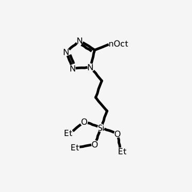 CCCCCCCCc1nnnn1CCC[Si](OCC)(OCC)OCC